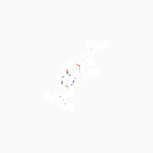 CC(C)CC(C(=O)NCCC(=O)O)n1cc(CN(C)C)ccc1=O